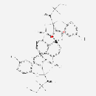 CC(C)(CCl)C(=O)C(Oc1ccc(Cl)cc1)(OS(=O)(=O)c1cccc2c(S(=O)(=O)OC(Oc3ccc(Cl)cc3)(C(=O)C(C)(C)CCl)n3cncn3)cccc12)n1cncn1